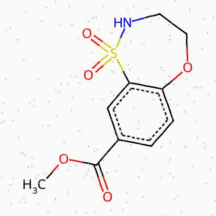 COC(=O)c1ccc2c(c1)S(=O)(=O)NCCO2